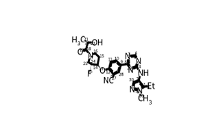 CCc1c(Nc2ncnc(-c3ccc(O[C@H]4CCN(C(=O)[C@H](C)O)C[C@H]4F)c(C#N)c3)n2)cnn1C